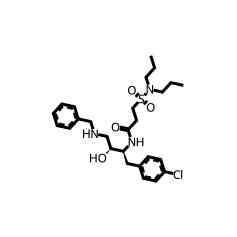 CCCN(CCC)S(=O)(=O)CCC(=O)N[C@@H](Cc1ccc(Cl)cc1)[C@H](O)CNCc1ccccc1